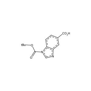 CC(C)(C)OC(=O)n1cnc2cc(C(=O)O)ccc21